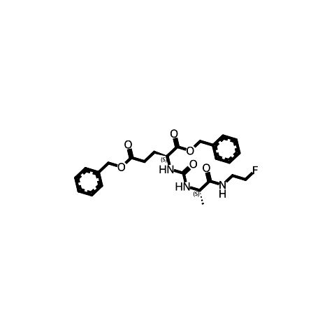 C[C@H](NC(=O)N[C@@H](CCC(=O)OCc1ccccc1)C(=O)OCc1ccccc1)C(=O)NCCF